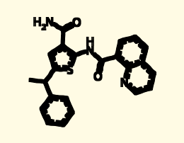 CC(c1ccccc1)c1cc(C(N)=O)c(NC(=O)c2cccc3cccnc23)s1